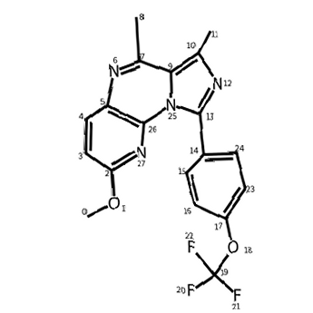 COc1ccc2nc(C)c3c(C)nc(-c4ccc(OC(F)(F)F)cc4)n3c2n1